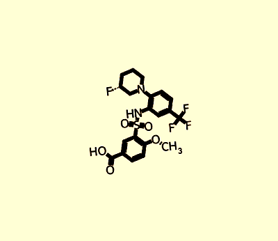 COc1ccc(C(=O)O)cc1S(=O)(=O)Nc1cc(C(F)(F)F)ccc1N1CCC[C@@H](F)C1